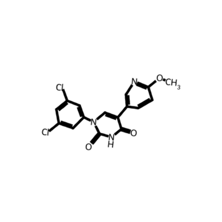 COc1ccc(-c2cn(-c3cc(Cl)cc(Cl)c3)c(=O)[nH]c2=O)cn1